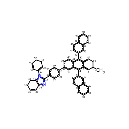 CC1C=c2c(-c3ccc4ccccc4c3)c3cc(-c4ccc(-c5nc6c(n5C5=CCCC=C5)CCC=C6)cc4)ccc3c(-c3ccc4ccccc4c3)c2=CC1